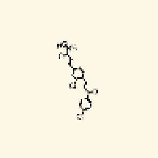 O=C(/C=C/c1ccc(/C=C/C(=O)c2ccc(Cl)cc2)c(Cl)c1)NO